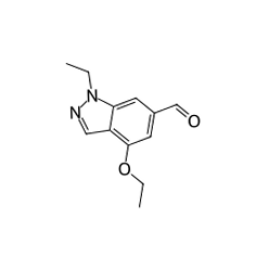 CCOc1cc(C=O)cc2c1cnn2CC